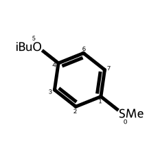 CSc1ccc(OCC(C)C)cc1